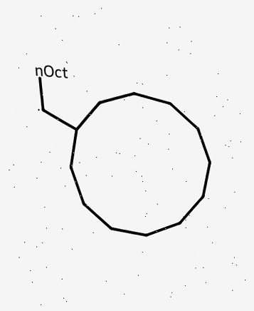 CCCCCCCC[CH]C1CCCCCCCCCCC1